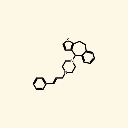 C(=Cc1ccccc1)CN1CCN(C2c3ccccc3CCc3sccc32)CC1